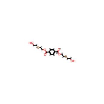 O=C(OCCSCCO)c1ccc(C(=O)OCCSCCO)cc1